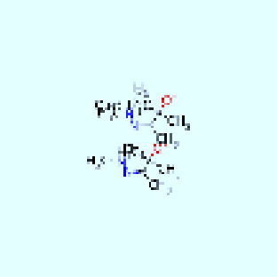 CC(=NN(C)C)C(C)(C)[O-].CC(=NN(C)C)C(C)(C)[O-].[Cu+2]